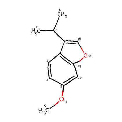 COc1ccc2c(C(C)C)coc2c1